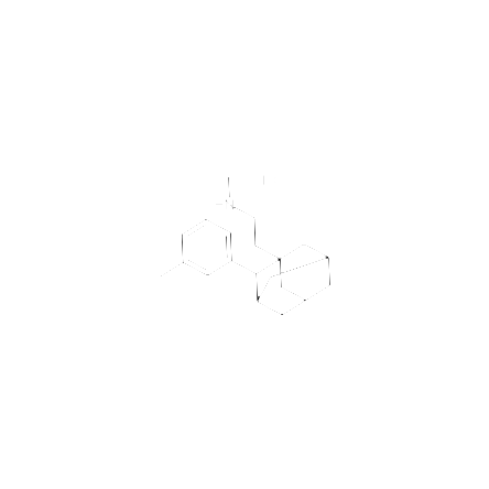 CNCCC12CC3CC(CC(C3)C1c1cccc(C)c1)C2.Cl